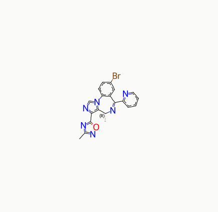 Cc1noc(-c2ncn3c2[C@@H](C)N=C(c2ccccn2)c2cc(Br)ccc2-3)n1